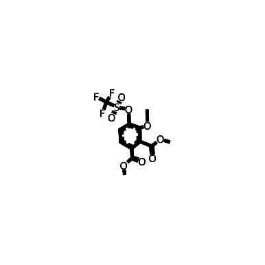 COC(=O)c1ccc(OS(=O)(=O)C(F)(F)F)c(OC)c1C(=O)OC